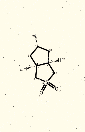 C[C@H]1C[C@@H]2CS(=O)(=O)C[C@@H]2C1